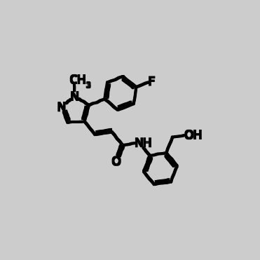 Cn1ncc(C=CC(=O)Nc2ccccc2CO)c1-c1ccc(F)cc1